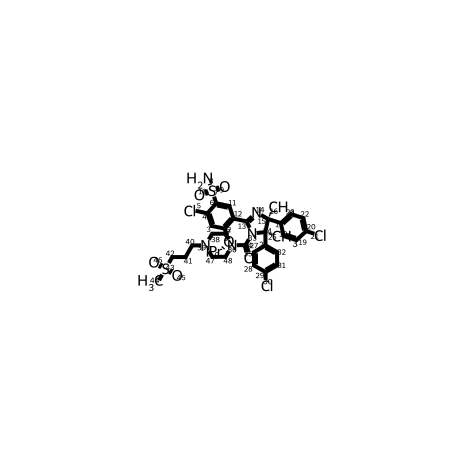 CC(C)Oc1cc(Cl)c(S(N)(=O)=O)cc1C1=N[C@@](C)(c2ccc(Cl)cc2)[C@@](C)(c2ccc(Cl)cc2)N1C(=O)N1CCN(CCCS(C)(=O)=O)CC1